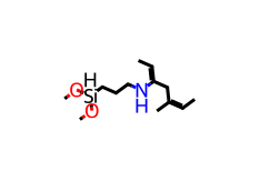 CC=C(C)CC(=CC)NCCC[SiH](OC)OC